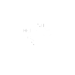 CCN(CC)C(=O)CC1(c2ccccc2)CC1N.Cl